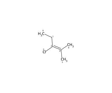 CCC(Cl)=C(C)C